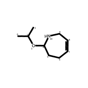 CC(C)OC1CCC=CCN1